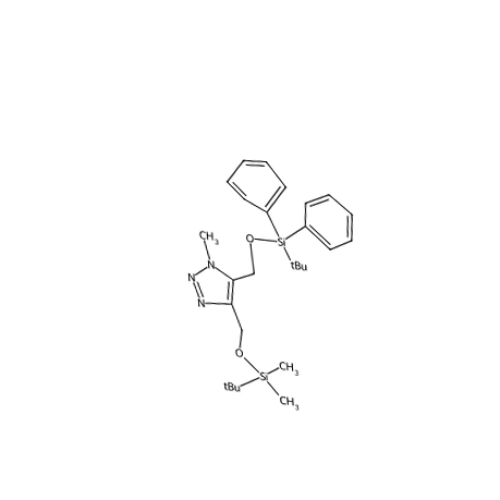 Cn1nnc(CO[Si](C)(C)C(C)(C)C)c1CO[Si](c1ccccc1)(c1ccccc1)C(C)(C)C